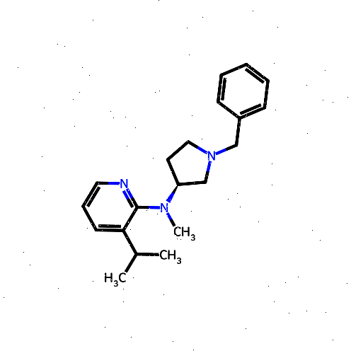 CC(C)c1cccnc1N(C)[C@H]1CCN(Cc2ccccc2)C1